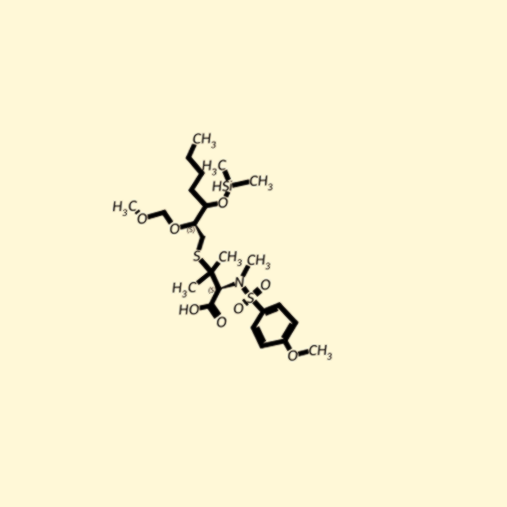 CCCCC(O[SiH](C)C)[C@@H](CSC(C)(C)[C@H](C(=O)O)N(C)S(=O)(=O)c1ccc(OC)cc1)OCOC